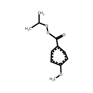 COc1ccc(C(=O)OO[C](C)C)cc1